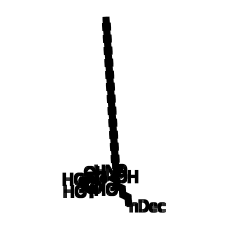 CC#CC#CC#CC#CC#CC#CC#CC#CC#CC#CC#CC#CC(=O)N[C@@H](CO[C@@H]1O[C@@H](C)[C@@H](O)C(O)C1O)[C@H](O)[C@H](O)CCCCCCCCCCCCCC